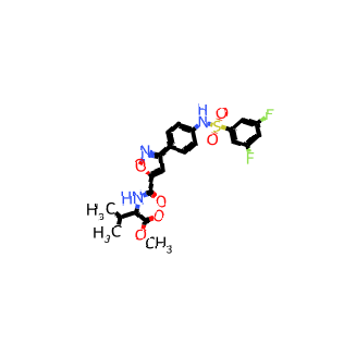 COC(=O)C(NC(=O)c1cc(-c2ccc(NS(=O)(=O)c3cc(F)cc(F)c3)cc2)no1)C(C)C